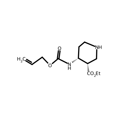 C=CCOC(=O)N[C@@H]1CCNC[C@@H]1C(=O)OCC